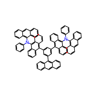 c1ccc(N(c2c3ccccc3cc3ccccc23)c2c3ccccc3c(-c3cc(-c4c5ccccc5cc5ccccc45)cc(-c4c5ccccc5c(N(c5ccccc5)c5c6ccccc6cc6ccccc56)c5ccccc45)c3)c3ccccc23)cc1